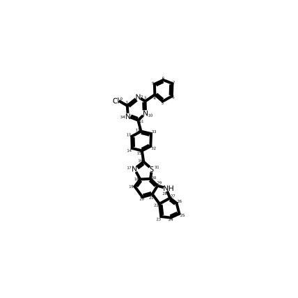 Clc1nc(-c2ccccc2)nc(-c2ccc(-c3nc4ccc5c6ccccc6[nH]c5c4s3)cc2)n1